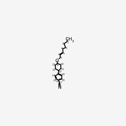 CCCCC/C=C/COC1CCC(c2ccc(C#N)cc2)CC1